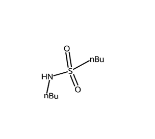 CCCCNS(=O)(=O)CCCC